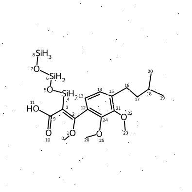 COC(=C([SiH2]O[SiH2]O[SiH3])C(=O)O)c1ccc(CCC(C)C)c(OC)c1OC